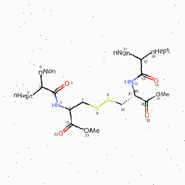 CCCCCCCCCC(CCCCCCC)C(=O)NC(CSSC[C@H](NC(=O)C(CCCCCCC)CCCCCCCCC)C(=O)OC)C(=O)OC